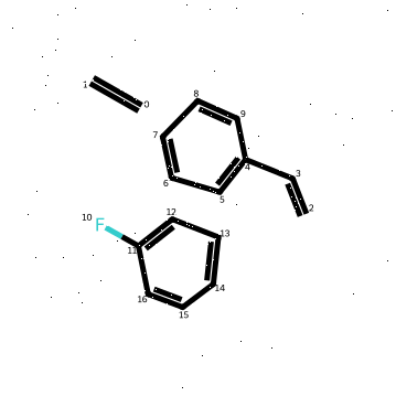 C=C.C=Cc1ccccc1.Fc1ccccc1